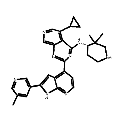 Cc1cncc(-c2cc3c(-c4nc(N[C@H]5CCNCC5(C)C)c5c(C6CC6)cncc5n4)ccnc3[nH]2)c1